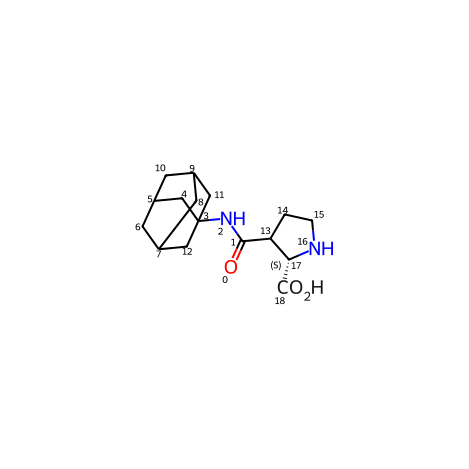 O=C(NC12CC3CC(CC(C3)C1)C2)C1CCN[C@@H]1C(=O)O